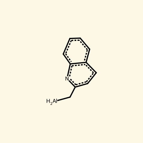 [AlH2][CH2]c1ccc2ccccc2n1